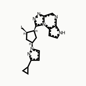 I[C@@H]1C[C@H](n2ccc(C3CC3)n2)C[C@@H]1c1nnc2cnc3[nH]ccc3n12